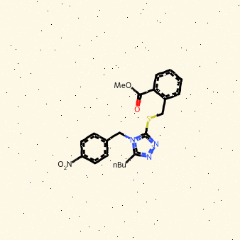 CCCCc1nnc(SCc2ccccc2C(=O)OC)n1Cc1ccc([N+](=O)[O-])cc1